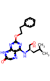 CC(C)C[C@H](CO)Nc1nc(OCCc2ccccc2)nc2[nH]c(=O)cnc12